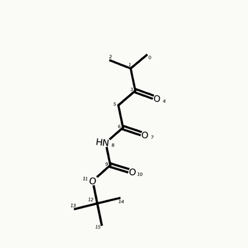 CC(C)C(=O)CC(=O)NC(=O)OC(C)(C)C